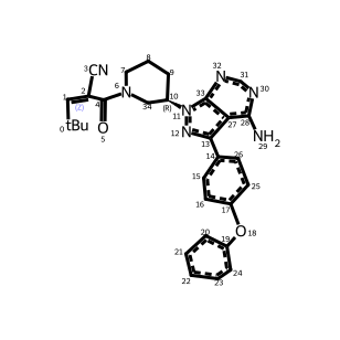 CC(C)(C)/C=C(/C#N)C(=O)N1CCC[C@@H](n2nc(-c3ccc(Oc4ccccc4)cc3)c3c(N)ncnc32)C1